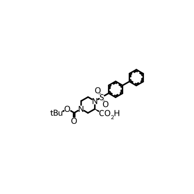 CC(C)(C)OC(=O)N1CCN(S(=O)(=O)c2ccc(-c3ccccc3)cc2)[C@@H](C(=O)O)C1